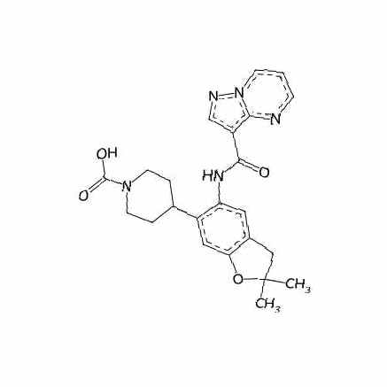 CC1(C)Cc2cc(NC(=O)c3cnn4cccnc34)c(C3CCN(C(=O)O)CC3)cc2O1